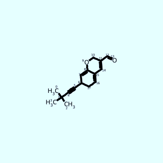 CC(C)(C)C#CC1C=C2OCC(C=O)=CC2=CC1